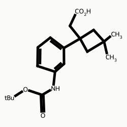 CC1(C)CC(CC(=O)O)(c2cccc(NC(=O)OC(C)(C)C)c2)C1